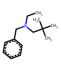 CCN(Cc1ccccc1)CC(C)(C)C